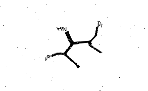 CC(C)C(C)C(=N)C(C)C(C)C